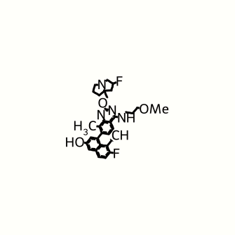 C#Cc1c(F)ccc2cc(O)cc(-c3ccc4c(NCCCOC)nc(OCC56CCCN5CC(F)C6)nc4c3C)c12